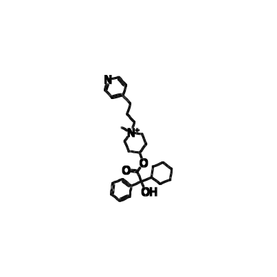 C[N+]1(CCCc2ccncc2)CCC(OC(=O)C(O)(c2ccccc2)C2CCCCC2)CC1